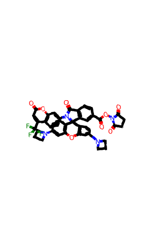 O=C(ON1C(=O)CCC1=O)c1ccc2c(c1)C1(c3ccc(N4CCC4)cc3Oc3cc(N4CCC4)ccc31)N(c1ccc3c(C(F)(F)F)cc(=O)oc3c1)C2=O